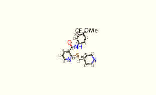 COc1ccc(NC(=O)c2cccnc2SCc2ccncc2)cc1C(F)(F)F